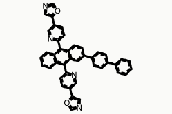 c1ccc(-c2ccc(-c3ccc4c(-c5ccc(-c6cnco6)cn5)c5ccccc5c(-c5ccc(-c6cnco6)cn5)c4c3)cc2)cc1